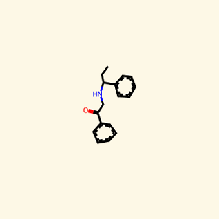 CCC(NCC(=O)c1ccccc1)c1ccccc1